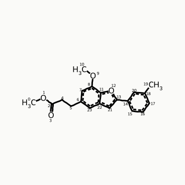 COC(=O)CCc1cc(OC)c2oc(-c3cccc(C)c3)cc2c1